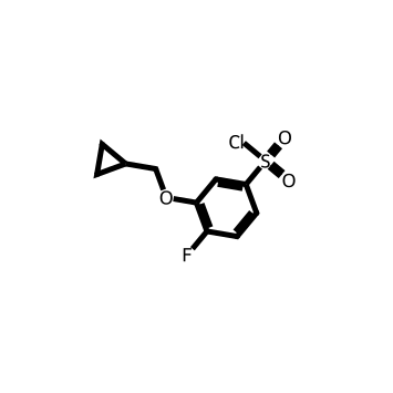 O=S(=O)(Cl)c1ccc(F)c(OCC2CC2)c1